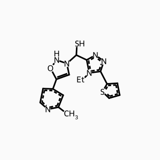 CCn1c(-c2cccs2)nnc1C(S)N1C=C(c2ccnc(C)c2)ON1